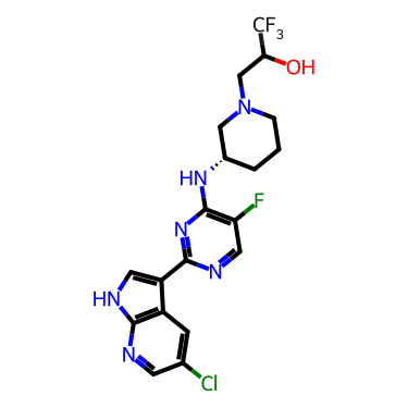 OC(CN1CCC[C@H](Nc2nc(-c3c[nH]c4ncc(Cl)cc34)ncc2F)C1)C(F)(F)F